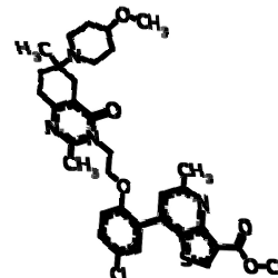 COC(=O)c1csc2c(-c3cc(Cl)ccc3OCCn3c(C)nc4c(c3=O)CC(C)(N3CCC(OC)CC3)CC4)cc(C)nc12